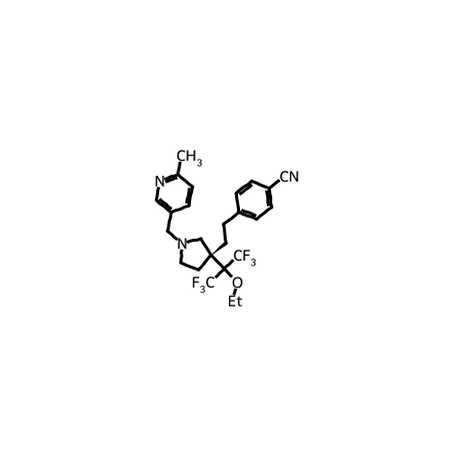 CCOC(C(F)(F)F)(C(F)(F)F)[C@]1(CCc2ccc(C#N)cc2)CCN(Cc2ccc(C)nc2)C1